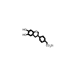 CCOC(=O)Cc1ccc(C2COc3cc(O)c(O)cc3C2)cc1